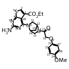 CCOC(=O)c1csc2nc(N)nc(N3CC4CC3CN4C(=O)COc3ccc(OC)cc3)c12